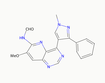 COc1cc2ncnc(-c3cn(C)nc3-c3ccccc3)c2nc1NC=O